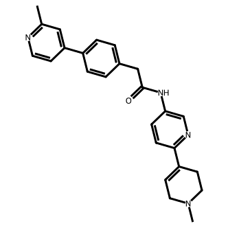 Cc1cc(-c2ccc(CC(=O)Nc3ccc(C4=CCN(C)CC4)nc3)cc2)ccn1